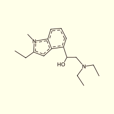 CCc1cc2c(C(O)CN(CC)CC)cccc2n1C